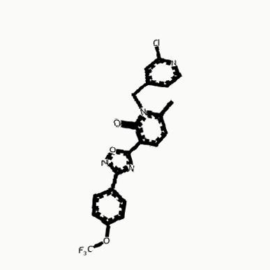 Cc1ccc(-c2nc(-c3ccc(OC(F)(F)F)cc3)no2)c(=O)n1Cc1ccnc(Cl)c1